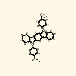 Cc1ccc(-n2c3c(c4cc5c(cc42)c2ccccc2n5-c2ccc(C)cc2)CCC=C3)cc1